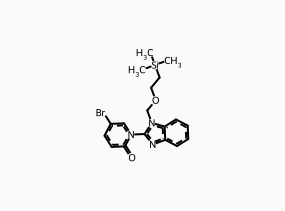 C[Si](C)(C)CCOCn1c(-n2cc(Br)ccc2=O)nc2ccccc21